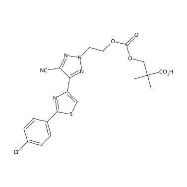 CC(C)(COC(=O)OCCn1nc(C#N)c(-c2csc(-c3ccc(Cl)cc3)n2)n1)C(=O)O